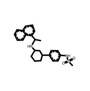 CC(NC1CCCC(c2ccc(NS(C)(=O)=O)cc2)C1)c1cccc2ccccc12